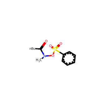 CCCCC(=O)N(C)OS(=O)(=O)c1ccccc1